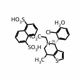 CC1CN(CC(=O)O)[C@H](c2ccccc2Cl)c2ccsc21.O.O=S(=O)(O)c1cccc2c(S(=O)(=O)O)cccc12